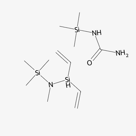 C=C[SiH](C=C)N(C)[Si](C)(C)C.C[Si](C)(C)NC(N)=O